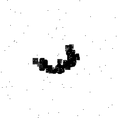 COC(=O)C1CN(Cc2ccc(-c3nc4ccc(C5(C6CCC(F)(F)C6)CC5)nc4s3)c(F)c2)C1